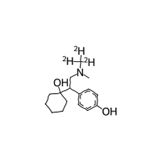 [2H]C([2H])([2H])N(C)CC(c1ccc(O)cc1)C1(O)CCCCC1